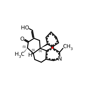 Cc1ncc2c(n1)[C@@]1(c3ccccc3)CC(=CO)C(=O)[C@@H](C)[C@@H]1CC2